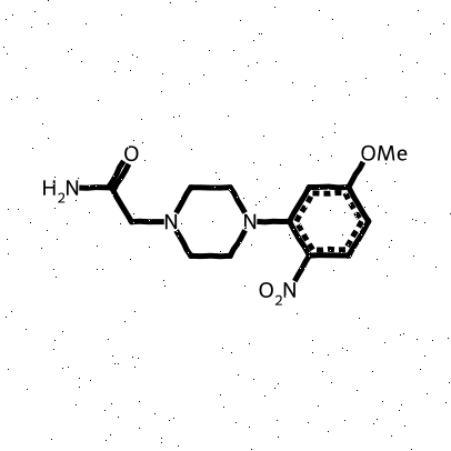 COc1ccc([N+](=O)[O-])c(N2CCN(CC(N)=O)CC2)c1